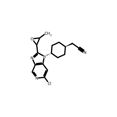 CC1OC1c1nc2cnc(Cl)cc2n1[C@H]1CC[C@H](CC#N)CC1